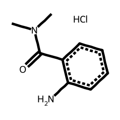 CN(C)C(=O)c1ccccc1N.Cl